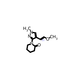 CO/C=C/c1cn(C)nc1N1CCCCC1=O